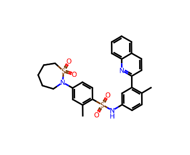 Cc1ccc(NS(=O)(=O)c2ccc(N3CCCCCS3(=O)=O)cc2C)cc1-c1ccc2ccccc2n1